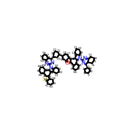 c1ccc(-c2nc(-n3c4ccccc4c4c5c6ccc(-c7cccc(-c8nc(-n9c%10ccccc%10c%10c%11c%12ccccc%12sc%11c%11ccccc%11c%109)nc9ccccc89)c7)cc6oc5c5ccccc5c43)nc3ccccc23)cc1